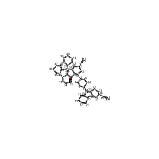 N#Cc1cc(-c2ccc(-n3c4ccccc4c4cc(C#N)ccc43)cc2)c(C#N)c([Si](c2ccccc2)(c2ccccc2)c2ccccc2)c1